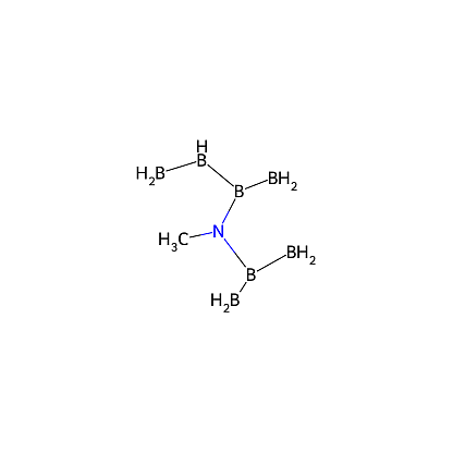 BBB(B)N(C)B(B)B